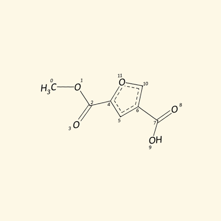 COC(=O)c1cc(C(=O)O)co1